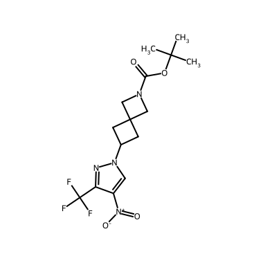 CC(C)(C)OC(=O)N1CC2(CC(n3cc([N+](=O)[O-])c(C(F)(F)F)n3)C2)C1